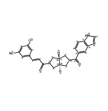 N#Cc1cc(Cl)cc(C=CC(=O)N2C[C@@H]3CN(C(=O)c4ccc5[nH]nnc5c4)C[C@H]3C2)c1